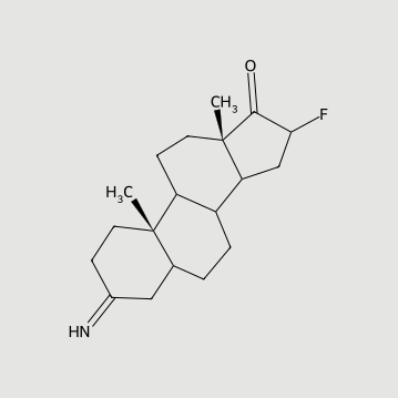 C[C@]12CCC(=N)CC1CCC1C2CC[C@]2(C)C(=O)C(F)CC12